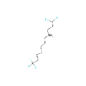 FC(F)CC[SiH2]CCCCCC[Si](F)(F)F